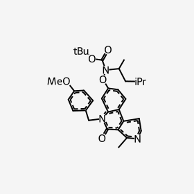 COc1ccc(Cn2c(=O)c3c(C)nccc3c3ccc(ON(C(=O)OC(C)(C)C)C(C)CC(C)C)cc32)cc1